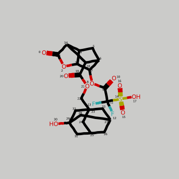 O=C1OC2C3CC(C2OC(=O)C(F)(F)S(=O)(=O)O)C(C(=O)OCC24CC5CC(CC(O)(C5)C2)C4)C13